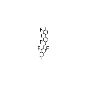 Cc1ccc2c(ccc3c(F)c(CCc4c(F)cc5c(c4F)CCC(C)C5)ccc32)c1F